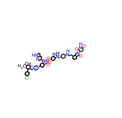 CC1(C)CCC(CN2CCN(c3ccc(C(=O)NS(=O)(=O)c4ccc(NC[C@H]5CC[C@H](NCCc6cccc7c6CN(C6CCC(=O)NC6=O)C7=O)CC5)c([N+](=O)[O-])c4)c(Oc4cnc5[nH]ccc5c4)c3)CC2)=C(c2ccc(Cl)cc2)C1